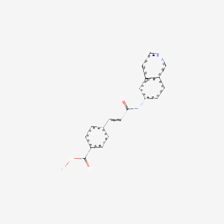 CC(C)(C)OC(=O)c1ccc(/C=C/C(=O)Nc2ccc3cnccc3c2)cc1